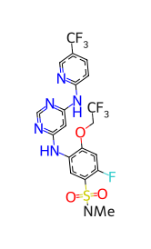 CNS(=O)(=O)c1cc(Nc2cc(Nc3ccc(C(F)(F)F)cn3)ncn2)c(OCC(F)(F)F)cc1F